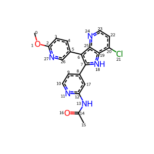 COc1ccc(-c2c(-c3ccnc(NC(C)=O)c3)[nH]c3c(Cl)ccnc23)cn1